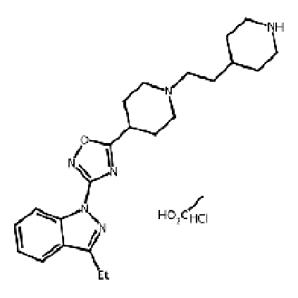 CC(=O)O.CCc1nn(-c2noc(C3CCN(CCC4CCNCC4)CC3)n2)c2ccccc12.Cl